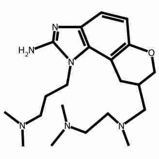 CN(C)CCCn1c(N)nc2ccc3c(c21)CC(CN(C)CCN(C)C)CO3